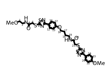 COCCNC(=O)CSc1nc(-c2ccc(OCCCCNC(=O)CSc3nc(-c4ccc(OC)cc4)ns3)cc2)ns1